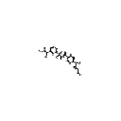 CCNC(=O)c1cccc(S(=O)(=O)NC(=O)c2ccc(C(=O)NCCO)nc2)c1